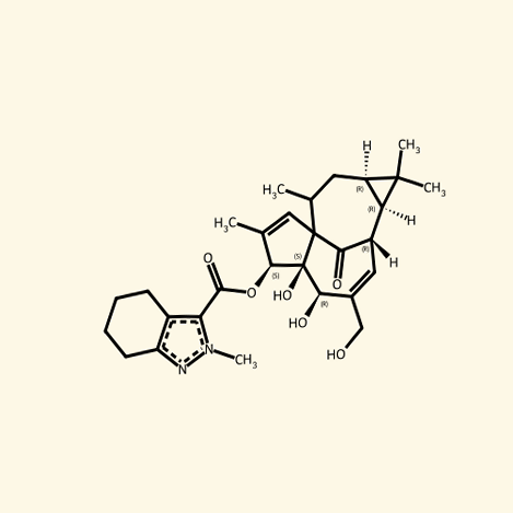 CC1=CC23C(=O)[C@@H](C=C(CO)[C@@H](O)[C@]2(O)[C@H]1OC(=O)c1c2c(nn1C)CCCC2)[C@H]1[C@@H](CC3C)C1(C)C